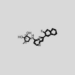 [CH2][C@@H]1C[C@@H](Nc2ccnc3cc(-c4cc5ccccc5cc4F)nn23)[C@H](O)[C@@H]1O